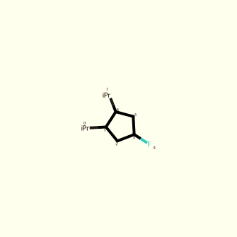 CC(C)C1CC(F)CC1C(C)C